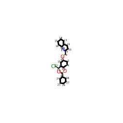 O=C(Oc1ccc(OCc2ccc3ccccc3n2)cc1CCl)c1ccccc1